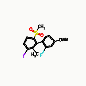 COc1ccc(-c2c(S(C)(=O)=O)ccc(I)c2C)c(F)c1